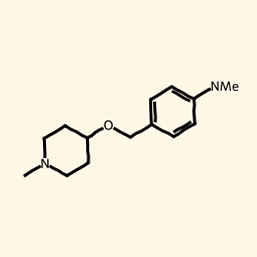 CNc1ccc(COC2CCN(C)CC2)cc1